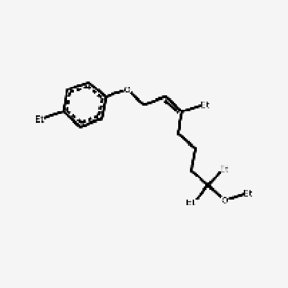 CCOC(CC)(CC)CCCC(=CCOc1ccc(CC)cc1)CC